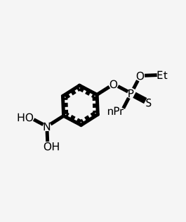 CCCP(=S)(OCC)Oc1ccc(N(O)O)cc1